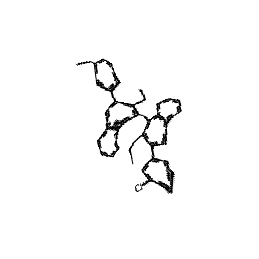 CCc1c(-c2cccc(C)c2)cc2ccccc2c1-c1c(CC)c(-c2cccc(Cl)c2)cc2ccccc12